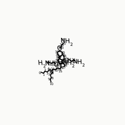 CCCCCN(CCCCC)CCC[C@@H](C)[C@H]1CC[C@@]2(N)C3C(OCCCN)CC4C[C@H](OCCCN)CCC4(C)[C@H]3C[C@H](OCCCN)[C@]12C